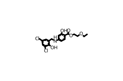 CCOCCOC(=O)c1ccc(NCc2cc(Cl)cc(Cl)c2O)cc1O